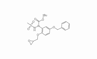 CC(C)(C)OC(=O)N(NS(C)(=O)=O)c1cc(OCc2ccccc2)ccc1OCC1CO1